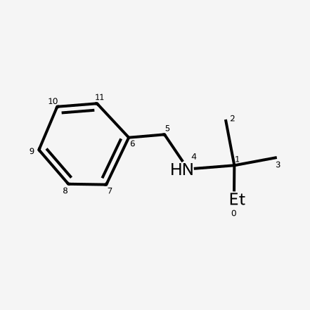 [CH2]CC(C)(C)NCc1ccccc1